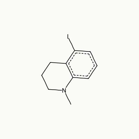 CN1CCCc2c(I)cccc21